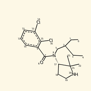 CCC(CC)CN(C(=O)c1cccc(Cl)c1Cl)[C@H]1CCNC1(C)C